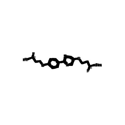 CCCCCC[C@@H](F)CCOc1cnc(-c2ccc(OCC[C@H](F)CCC)cc2)nc1